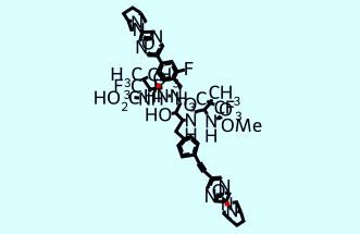 COC(=O)NC(C(=O)NC(Cc1ccc(C#Cc2cnc(N3CC4CCC(C3)N4C3COC3)nc2)cc1)C(O)CN(Cc1c(F)cc(-c2cnc(N3CC4CCC(C3)N4C3COC3)nc2)cc1F)NC(=O)C(NC(=O)O)C(C)(C)C(F)(F)F)C(C)(C)C(F)(F)F